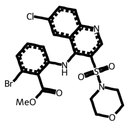 COC(=O)c1c(Br)cccc1Nc1c(S(=O)(=O)N2CCOCC2)cnc2ccc(Cl)cc12